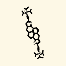 CC(C)[Si](C#Cc1cc2c(s1)-c1ccc3c4c(ccc(c14)C2)-c1sc(C#C[Si](C(C)C)(C(C)C)C(C)C)cc1C3)(C(C)C)C(C)C